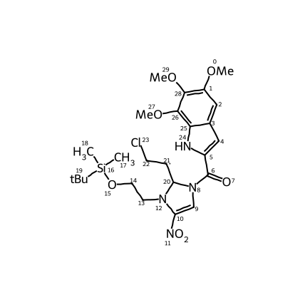 COc1cc2cc(C(=O)N3C=C([N+](=O)[O-])N(CCO[Si](C)(C)C(C)(C)C)C3[CH]CCl)[nH]c2c(OC)c1OC